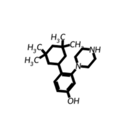 CC1(C)CC(c2ccc(O)cc2N2CCNCC2)CC(C)(C)C1